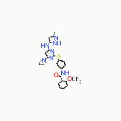 Cc1cc(Nc2cc(N3CCC3)nc(Sc3ccc(NC(=O)c4ccccc4OC(F)(F)F)cc3)n2)[nH]n1